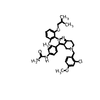 COc1ccc(CN2CCc3nn(-c4c(C)cccc4OCC(C)C)c(-c4ccc(NC(N)=O)cc4)c3C2)c(Cl)c1